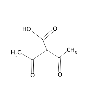 CC(=O)C(C(C)=O)C(=O)O